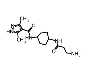 Cc1n[nH]c(C)c1C(=O)NC1CCC(NC(=O)CCN)CC1